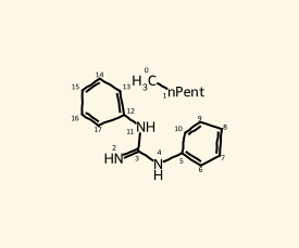 CCCCCC.N=C(Nc1ccccc1)Nc1ccccc1